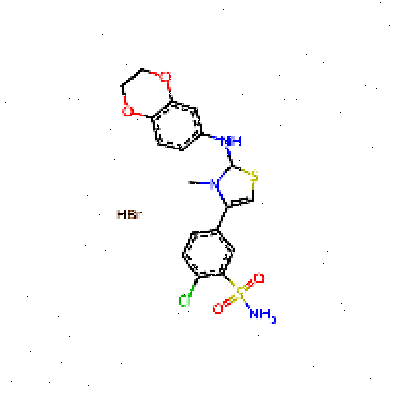 Br.CN1C(c2ccc(Cl)c(S(N)(=O)=O)c2)=CSC1Nc1ccc2c(c1)OCCO2